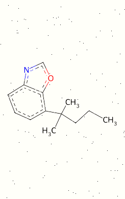 CCCC(C)(C)c1cccc2ncoc12